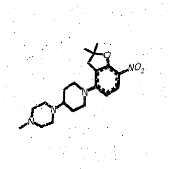 CN1CCN(C2CCN(c3ccc([N+](=O)[O-])c4c3CC(C)(C)O4)CC2)CC1